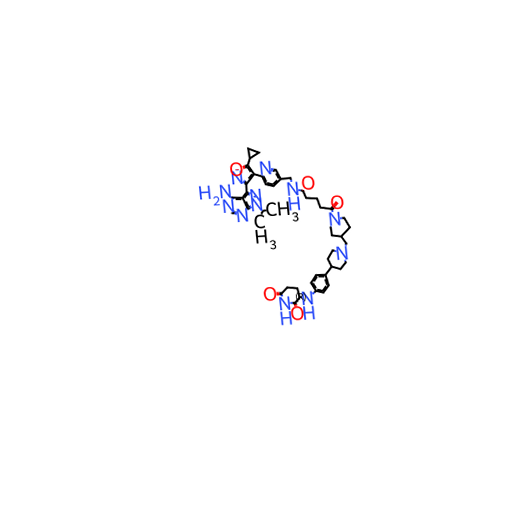 CC(C)n1nc(-c2noc(C3CC3)c2-c2ccc(CNC(=O)CCCC(=O)N3CCC(CN4CCC(c5ccc(N[C@@H]6CCC(=O)NC6=O)cc5)CC4)CC3)cn2)c2c(N)ncnc21